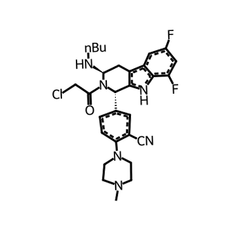 CCCCN[C@H]1Cc2c([nH]c3c(F)cc(F)cc23)[C@H](c2ccc(N3CCN(C)CC3)c(C#N)c2)N1C(=O)CCl